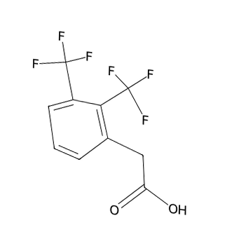 O=C(O)Cc1cccc(C(F)(F)F)c1C(F)(F)F